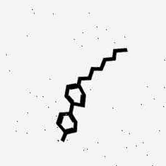 [CH2]c1ccc(-c2ccc(CCCCCCCC)cc2)cc1